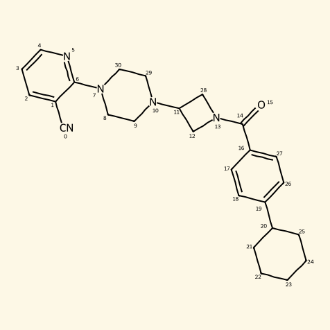 N#Cc1cccnc1N1CCN(C2CN(C(=O)c3ccc(C4CCCCC4)cc3)C2)CC1